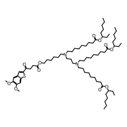 CCCCCC(CC)OC(=O)CCCCCCCCN(CCCCCCCCC(=O)OC(CC)CCCCC)CCCN(CCCCCCCCC(=O)OC(CC)CCCCC)CCCCCCOC(=O)CCC(=O)c1cc2cc(OC)c(OC)cc2s1